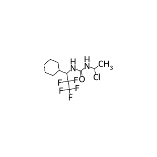 CC(Cl)NC(=O)NC(C1CCCCC1)C(F)(F)C(F)(F)F